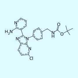 CC(C)(C)OC(=O)NCc1ccc(-n2c(-c3cccnc3N)nc3ccc(Cl)nc32)cc1